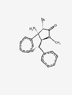 CN1C(=O)[C@@H](O)[C@](N)(c2ccccc2)[C@@H]1[C@@H](O)c1ccccc1